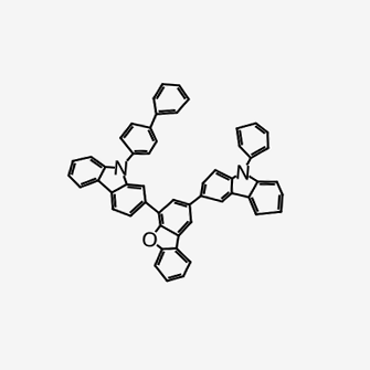 c1ccc(-c2ccc(-n3c4ccccc4c4ccc(-c5cc(-c6ccc7c(c6)c6ccccc6n7-c6ccccc6)cc6c5oc5ccccc56)cc43)cc2)cc1